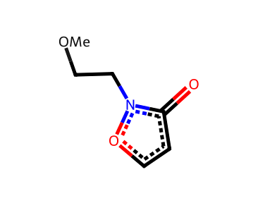 COCCn1occc1=O